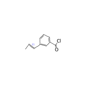 C/C=C/c1cccc(C(=O)Cl)c1